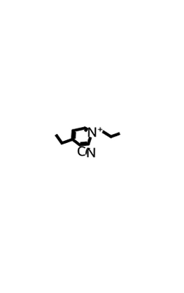 CCC[n+]1ccc(CC)cc1.[C-]#N